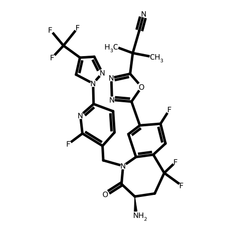 CC(C)(C#N)c1nnc(-c2cc3c(cc2F)C(F)(F)C[C@@H](N)C(=O)N3Cc2ccc(-n3cc(C(F)(F)F)cn3)nc2F)o1